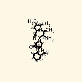 C=C(C(N)CN1C[C@@H]2CC1C(=O)N2c1ccccc1C#N)N1C(C#N)CC(C)C1C